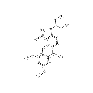 CCC(CO)Oc1cccc(Nc2c(NC)cc(NC)cc2NC)c1C(N)=O